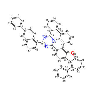 c1ccc(-c2ccc3c(-c4nc(-c5ccc6c(c5)oc5cccc(-c7ccccc7)c56)nc(-c5ccccc5-c5ccccc5)n4)cccc3c2)cc1